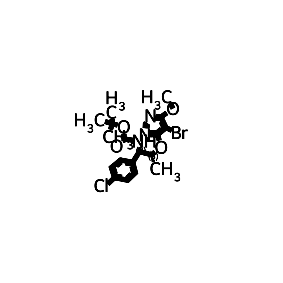 COc1ncnc(O[C@@H](C)[C@H](NC(=O)OC(C)(C)C)c2ccc(Cl)cc2)c1Br